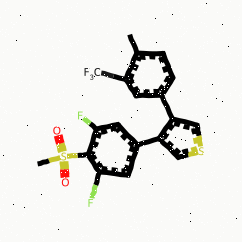 Cc1ccc(-c2cscc2-c2cc(F)c(S(C)(=O)=O)c(F)c2)cc1C(F)(F)F